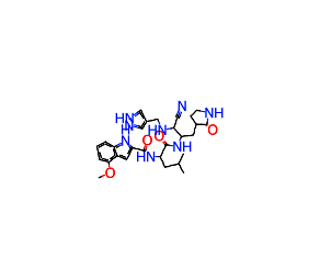 COc1cccc2[nH]c(C(=O)NC(CC(C)C)C(=O)NC(CC3CCNC3=O)C(C#N)NCc3cn[nH]c3)cc12